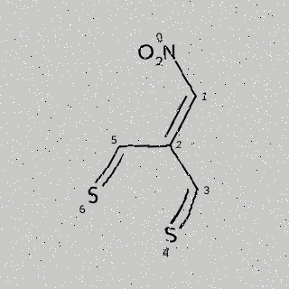 O=[N+]([O-])C=C(C=S)C=S